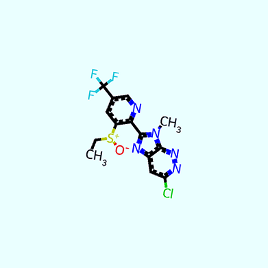 CC[S+]([O-])c1cc(C(F)(F)F)cnc1-c1nc2cc(Cl)nnc2n1C